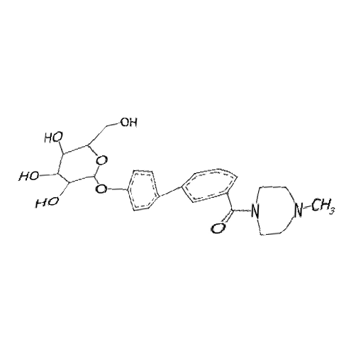 CN1CCN(C(=O)c2cccc(-c3ccc(OC4OC(CO)C(O)C(O)C4O)cc3)c2)CC1